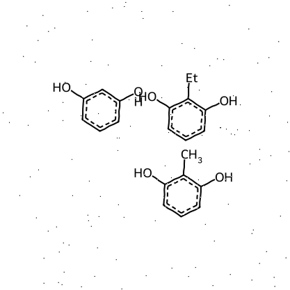 CCc1c(O)cccc1O.Cc1c(O)cccc1O.Oc1cccc(O)c1